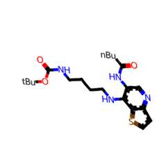 CCCCC(=O)Nc1cnc2ccsc2c1NCCCCNC(=O)OC(C)(C)C